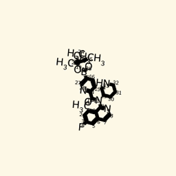 Cc1cc(F)cc2ccnc(N(C(=O)c3ccc(B4OC(C)(C)C(C)(C)O4)cn3)[C@@H]3CCCNC3)c12